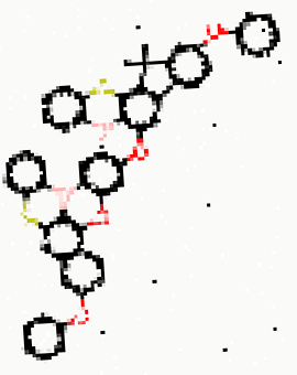 CC1(C)c2cc(Oc3ccccc3)ccc2-c2cc3c4c(c21)Sc1ccccc1B4c1cc2c(cc1O3)Oc1c3c(cc4cc(Oc5ccccc5)ccc14)Sc1ccccc1B23